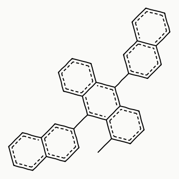 Cc1cccc2c(-c3ccc4ccccc4c3)c3ccccc3c(-c3ccc4ccccc4c3)c12